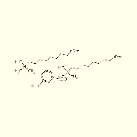 CCCCCCCCCCCCCCCCCC[N+](C)(C)C.CCCCCCCCCCCCCCCCCC[N+](C)(C)C.O=C([O-])c1cccc(C(=O)[O-])c1